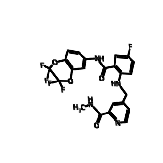 CNC(=O)c1cc(CNc2ccc(F)cc2C(=O)Nc2ccc3c(c2)OC(F)(F)C(F)(F)O3)ccn1